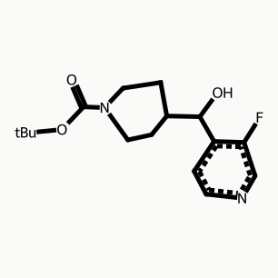 CC(C)(C)OC(=O)N1CCC(C(O)c2ccncc2F)CC1